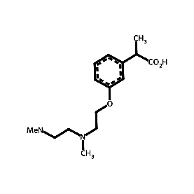 CNCCN(C)CCOc1cccc(C(C)C(=O)O)c1